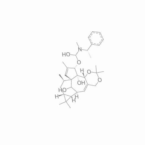 CC1=C[C@]23C(O)[C@@H](C=C4COC(C)(C)O[C@H]4[C@]2(O)[C@H]1OC(O)N(C)[C@@H](C)c1ccccc1)[C@H]1[C@@H](C[C@H]3C)C1(C)C